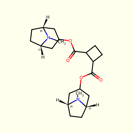 CN1[C@@H]2CC[C@H]1CC(OC(=O)C1CCC1C(=O)OC1C[C@H]3CC[C@@H](C1)N3C)C2